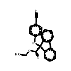 CCOC(=O)C1(Nc2ccc(C#N)cc2)c2ccccc2-c2ccccc21